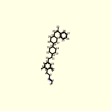 C/C=C/CCc1c(C)cc(CCC2CCC(C3CCC(C[C@@H](C)c4ccccc4)CC3)CC2)cc1F